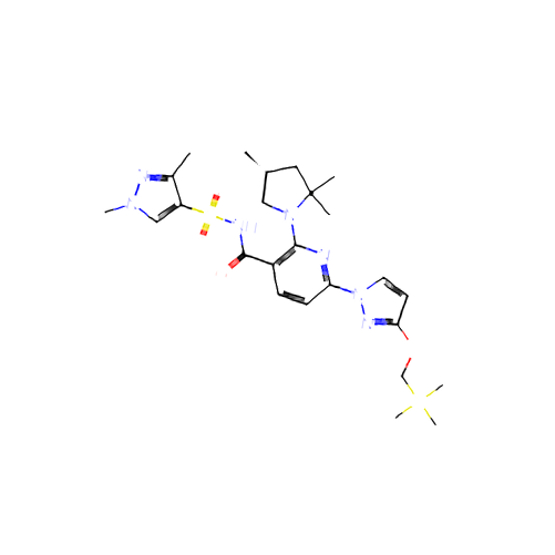 Cc1nn(C)cc1S(=O)(=O)NC(=O)c1ccc(-n2ccc(OCS(C)(C)C)n2)nc1N1C[C@@H](C)CC1(C)C